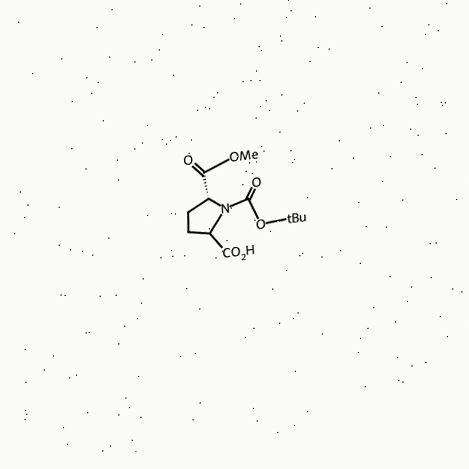 COC(=O)[C@H]1CCC(C(=O)O)N1C(=O)OC(C)(C)C